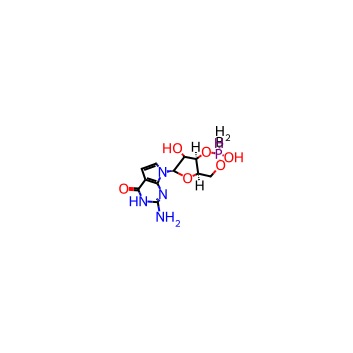 B[PH]1(O)OC[C@H]2O[C@@H](n3ccc4c(=O)[nH]c(N)nc43)C(O)[C@H]2O1